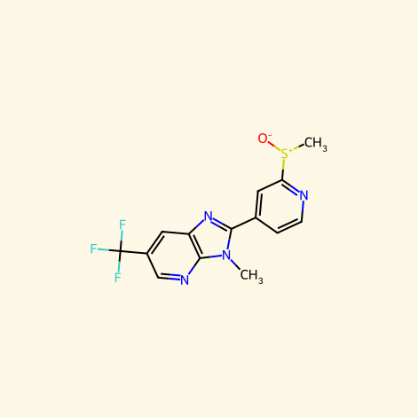 Cn1c(-c2ccnc([S+](C)[O-])c2)nc2cc(C(F)(F)F)cnc21